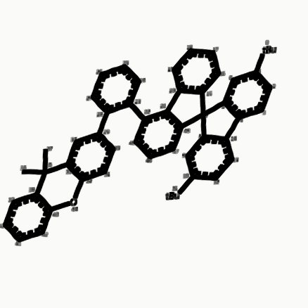 CC(C)(C)c1ccc2c(c1)C1(c3cc(C(C)(C)C)ccc3-2)c2ccccc2-c2c(-c3ccccc3-c3ccc4c(c3)C(C)(C)c3ccccc3O4)cccc21